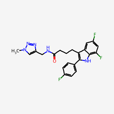 Cn1cc(CNC(=O)CCCc2c(-c3ccc(F)cc3)[nH]c3c(F)cc(F)cc23)nn1